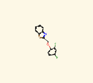 Fc1ccc(OCc2nc3ccccc3s2)c(F)c1